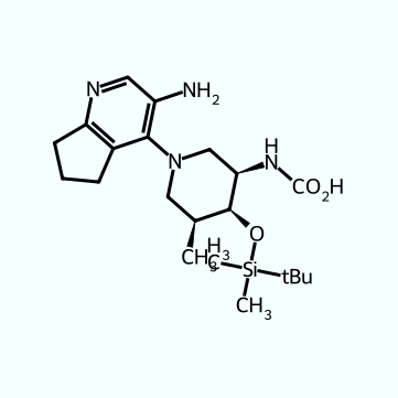 C[C@H]1CN(c2c(N)cnc3c2CCC3)C[C@@H](NC(=O)O)[C@H]1O[Si](C)(C)C(C)(C)C